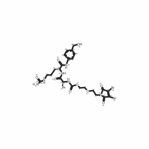 CC(C)[C@H](NC(=O)OCCOCCN1C(=O)C(Br)=C(Br)C1=O)C(=O)N[C@@H](CCCNC(N)=O)C(=O)Nc1ccc(CO)cc1